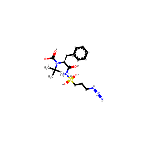 CC(C)(C)N(C(=O)O)[C@@H](Cc1ccccc1)C(=O)NS(=O)(=O)CCCN=[N+]=[N-]